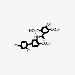 O=C(O)c1cc(C(=O)Nc2cc(-c3ccc(Cl)cc3Cl)ccc2C(=O)O)c(C(=O)O)cc1O